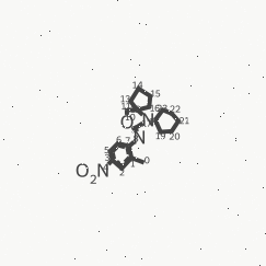 Cc1cc([N+](=O)[O-])ccc1N=C1OCC2(CCCC2)N1C1CCCCC1